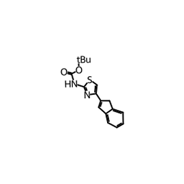 CC(C)(C)OC(=O)Nc1nc(C2=Cc3ccccc3C2)cs1